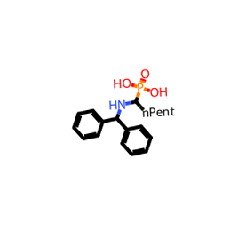 CCCCCC(NC(c1ccccc1)c1ccccc1)P(=O)(O)O